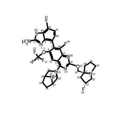 Nc1nc2c(-c3c(OC(F)(F)F)cc4c(N5CC6CCC(C5)N6)nc(OC[C@@]56CCCN5C[C@H](F)C6)nc4c3F)ccc(F)c2s1